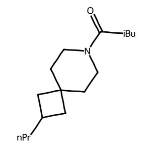 CCCC1CC2(CCN(C(=O)C(C)CC)CC2)C1